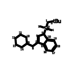 CC(C)(C)C[Si](C)(C)C1C=C(CC2CCCCC2)c2ccccc21